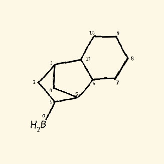 BC1CC2CC1C1CCCCC21